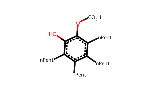 CCCCCc1c(O)c(OC(=O)O)c(CCCCC)c(CCCCC)c1CCCCC